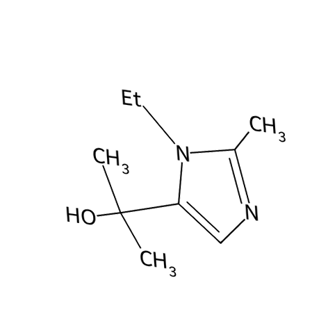 CCn1c(C(C)(C)O)cnc1C